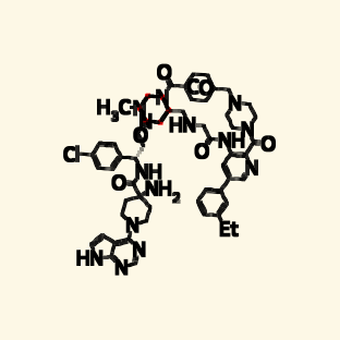 CCc1cccc(-c2cnc(C(=O)N3CCN(CC45CCC(C(=O)N6CCN(CC[C@H](NC(=O)C7(N)CCN(c8ncnc9[nH]ccc89)CC7)c7ccc(Cl)cc7)CC6)(CC4)CO5)CC3)c(NC(=O)CNCC3CCN(C)C(=O)C3)c2)c1